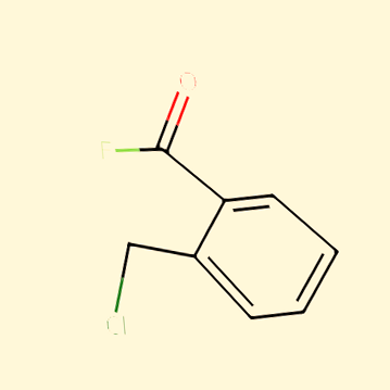 O=C(F)c1ccccc1CCl